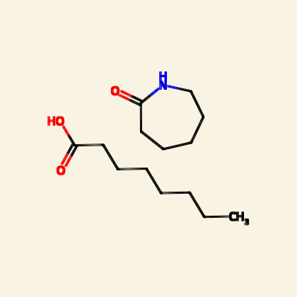 CCCCCCCC(=O)O.O=C1CCCCCN1